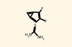 Fc1cc2cc-2c1F.NC(N)=S